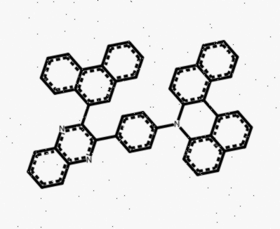 c1ccc2c3c(ccc2c1)N(c1ccc(-c2nc4ccccc4nc2-c2cc4ccccc4c4ccccc24)cc1)c1cccc2cccc-3c12